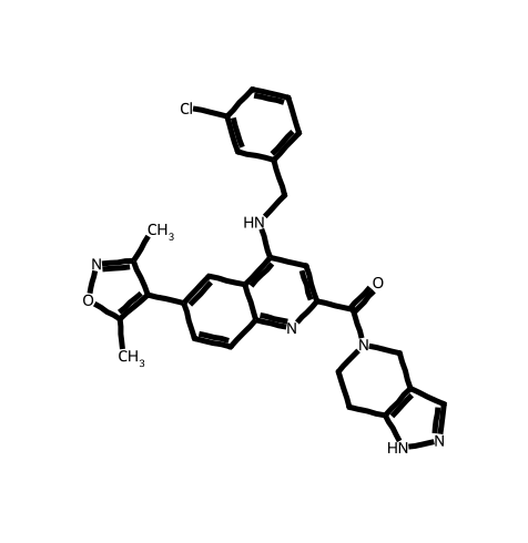 Cc1noc(C)c1-c1ccc2nc(C(=O)N3CCc4[nH]ncc4C3)cc(NCc3cccc(Cl)c3)c2c1